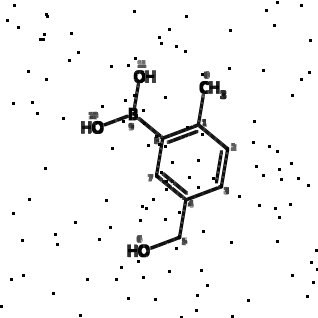 Cc1ccc(CO)cc1B(O)O